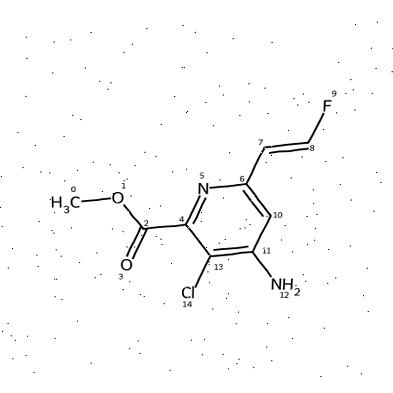 COC(=O)c1nc(C=CF)cc(N)c1Cl